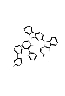 C=C/C=C\c1c(C)c2ccccc2n1-c1ccc2c3ccccc3n(-c3cccc(-c4ccccc4-n4c5ccccc5c5cc(C#N)ccc54)c3C#N)c2c1